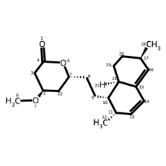 CO[C@H]1CC(=O)O[C@H](CC[C@H]2[C@@H](C)C=CC3=C[C@H](C)C[CH][C@@H]32)C1